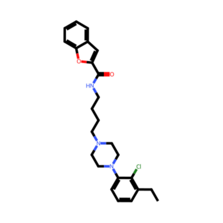 CCc1cccc(N2CCN(CCCCNC(=O)c3cc4ccccc4o3)CC2)c1Cl